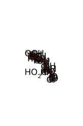 C[C@]12C=CC(=O)C=C1[C@@H](F)C[C@H]1[C@@H]3C[C@H]4CN(c5ccc(CC67CC(NC(=O)[C@H](CCC(=O)O)NC(=O)CNC(=O)CCC(=O)ON8C(=O)CCC8=O)(C6)C7)cc5)C[C@@]4(C(=O)CO)[C@@]3(C)C[C@H](O)[C@@]12F